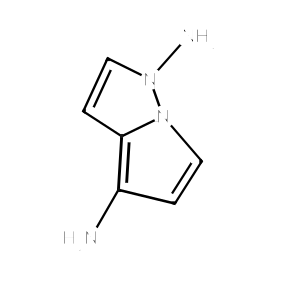 Nc1ccn2c1ccn2N